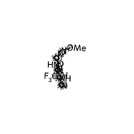 COCCN1CCN(c2cccc(C(=O)Nc3ccc(N/C(=C\C(=N)c4cccnc4)C(F)(F)F)nn3)c2)CC1